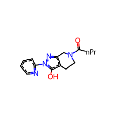 CCCC(=O)N1CCc2c(nn(-c3ccccn3)c2O)C1